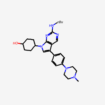 CCCCNc1ncc2c(-c3ccc(N4CCN(C)CC4)cc3)cn(C3CCC(O)CC3)c2n1